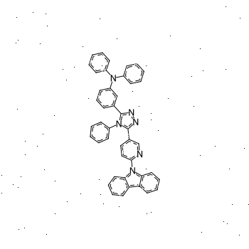 c1ccc(N(c2ccccc2)c2cccc(-c3nnc(-c4ccc(-n5c6ccccc6c6ccccc65)nc4)n3-c3ccccc3)c2)cc1